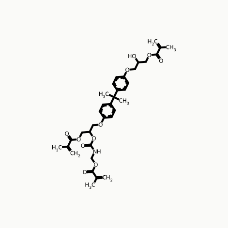 C=C(C)C(=O)OCNC(=O)OC(COC(=O)C(=C)C)COc1ccc(C(C)(C)c2ccc(OCC(O)COC(=O)C(=C)C)cc2)cc1